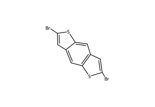 Brc1cc2cc3sc(Br)cc3cc2s1